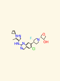 Cc1c(Nc2ncc3cc(Cl)c([C@@H]4CCN([C@@H]5COC[C@@H]5O)C[C@H]4F)cc3n2)cnn1C12CC(C1)C2